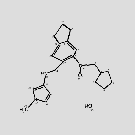 CCN(CC1CCCC1)c1cc2c(cc1CNc1ccn(C)n1)CCC2.Cl